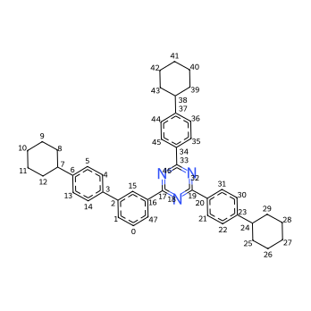 c1cc(-c2ccc(C3CCCCC3)cc2)cc(-c2nc(-c3ccc(C4CCCCC4)cc3)nc(-c3ccc(C4CCCCC4)cc3)n2)c1